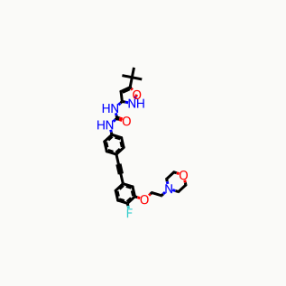 CC(C)(C)C1=CC(NC(=O)Nc2ccc(C#Cc3ccc(F)c(OCCN4CCOCC4)c3)cc2)NO1